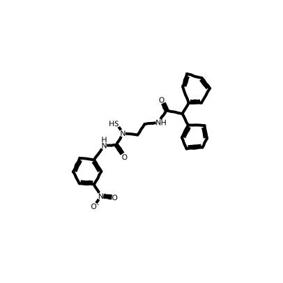 O=C(NCCN(S)C(=O)Nc1cccc([N+](=O)[O-])c1)C(c1ccccc1)c1ccccc1